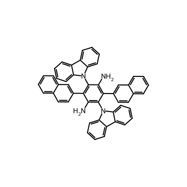 Nc1c(-c2ccc3ccccc3c2)c(-n2c3ccccc3c3ccccc32)c(N)c(-c2ccc3ccccc3c2)c1-n1c2ccccc2c2ccccc21